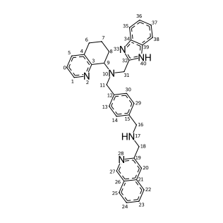 c1cnc2c(c1)CCCC2N(Cc1ccc(CNCc2cc3ccccc3cn2)cc1)Cc1nc2ccccc2[nH]1